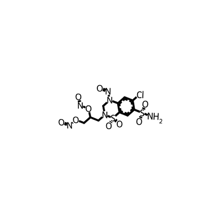 NS(=O)(=O)c1cc2c(cc1Cl)N(N=O)CN(CC(CON=O)ON=O)S2(=O)=O